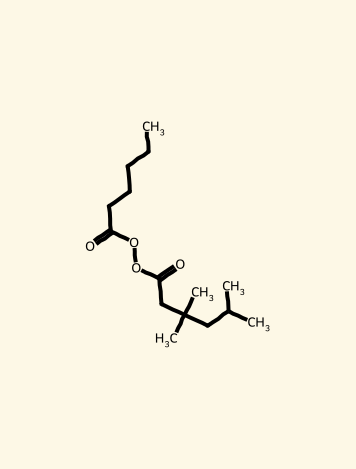 CCCCCC(=O)OOC(=O)CC(C)(C)CC(C)C